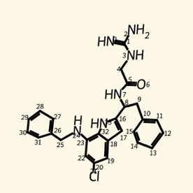 N=C(N)NCC(=O)NC(Cc1ccccc1)c1cc2cc(Cl)cc(NCc3ccccc3)c2[nH]1